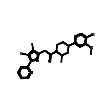 COc1cc(N2CCN(C(=O)Cn3nc(-c4ccccn4)c(F)c3C)C(C)C2)ccc1Cl